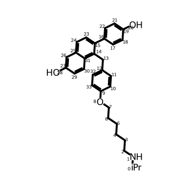 CC(C)NCCCCCCOc1ccc(Cc2c(-c3ccc(O)cc3)ccc3cc(O)ccc23)cc1